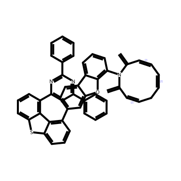 C=C1/C=C\C=C/C/C=C\C(=C)N1c1cccc2c1oc1cc(-c3cccc4sc5cccc(-c6nc(-c7ccccc7)nc(-c7ccccc7)n6)c5c34)ccc12